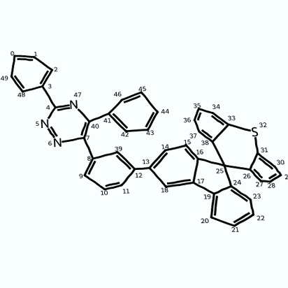 c1ccc(-c2nnc(-c3cccc(-c4ccc5c(c4)-c4ccccc4C54c5ccccc5Sc5ccccc54)c3)c(-c3ccccc3)n2)cc1